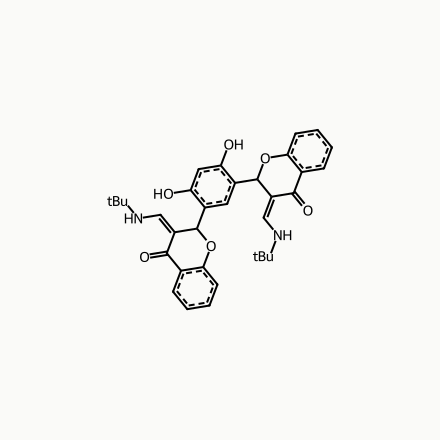 CC(C)(C)NC=C1C(=O)c2ccccc2OC1c1cc(C2Oc3ccccc3C(=O)C2=CNC(C)(C)C)c(O)cc1O